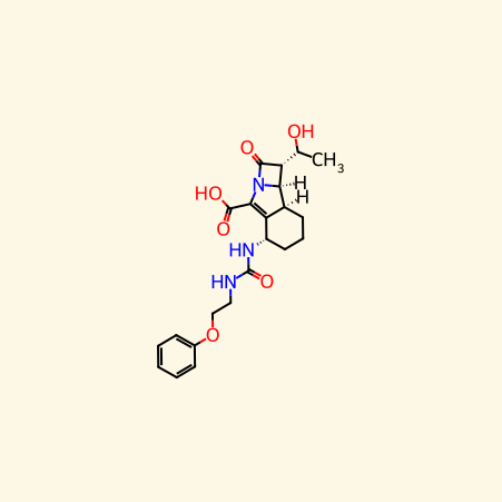 CC(O)[C@H]1C(=O)N2C(C(=O)O)=C3[C@@H](NC(=O)NCCOc4ccccc4)CCC[C@@H]3[C@H]12